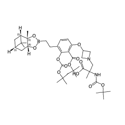 CC(C)(C)OC(=O)NC(C)(CN1CC(Oc2ccc(CCB3O[C@@H]4C[C@@H]5C[C@@H](C5(C)C)[C@]4(C)O3)c(OC(=O)OC(C)(C)C)c2C(=O)OC(C)(C)C)C1)C(=O)O